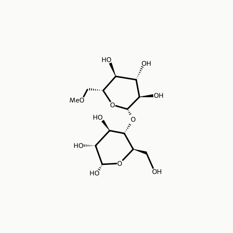 COC[C@H]1O[C@@H](O[C@H]2[C@H](O)[C@@H](O)[C@@H](O)O[C@@H]2CO)[C@H](O)[C@@H](O)[C@@H]1O